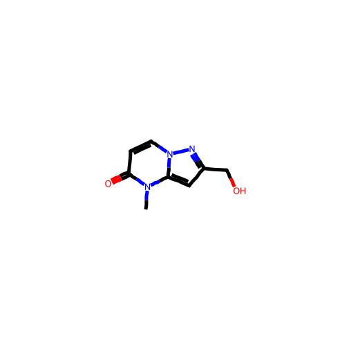 Cn1c(=O)ccn2nc(CO)cc12